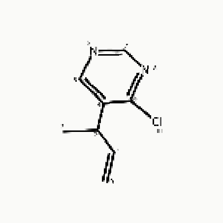 C=CC(C)c1cncnc1Cl